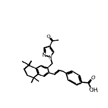 CC(=O)c1cnn(Cc2cc3c(cc2/C=C/c2ccc(C(=O)O)cc2)C(C)(C)CCC3(C)C)c1